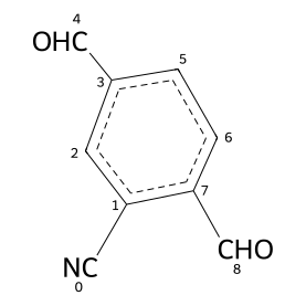 N#Cc1cc(C=O)ccc1C=O